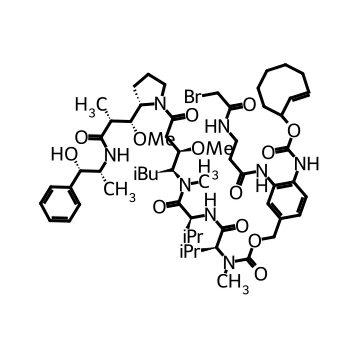 CC[C@H](C)[C@@H]([C@@H](CC(=O)N1CCC[C@H]1[C@H](OC)[C@@H](C)C(=O)N[C@H](C)[C@@H](O)c1ccccc1)OC)N(C)C(=O)[C@@H](NC(=O)[C@H](C(C)C)N(C)C(=O)OCc1ccc(NC(=O)OC2/C=C/CCCCC2)c(NC(=O)CCNC(=O)CBr)c1)C(C)C